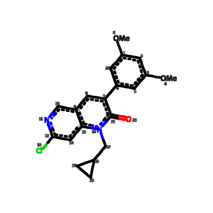 COc1cc(OC)cc(-c2cc3cnc(Cl)cc3n(CC3CC3)c2=O)c1